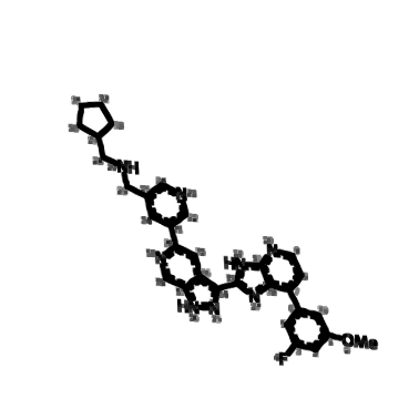 COc1cc(F)cc(-c2ccnc3[nH]c(-c4n[nH]c5cnc(-c6cncc(CNCC7CCCC7)c6)cc45)nc23)c1